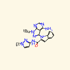 CCn1ccc(NC(=O)c2cc3ccccc3n2-c2nn(C(C)(C)C)c3ncnc(N)c23)n1